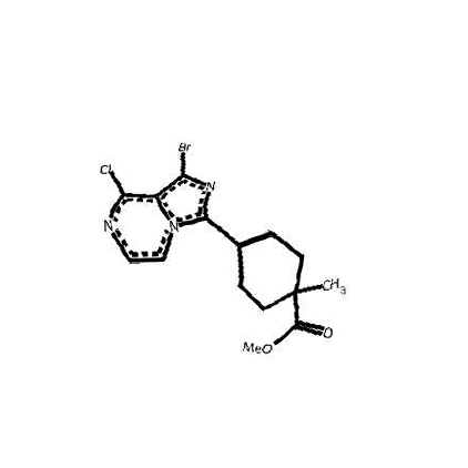 COC(=O)C1(C)CCC(c2nc(Br)c3c(Cl)nccn23)CC1